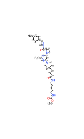 CC(C)(C)OC(=O)NCCCCCNC(=O)CCCC1CCN(c2cc(N3CC[C@H]3C(=O)NCCc3ccc(C#N)cc3)nc(C(F)(F)F)n2)CC1